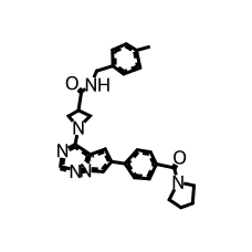 Cc1ccc(CNC(=O)C2CN(c3ncnn4cc(-c5ccc(C(=O)N6CCCC6)cc5)cc34)C2)cc1